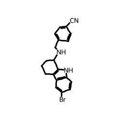 N#Cc1ccc(CNC2CCCc3c2[nH]c2ccc(Br)cc32)cc1